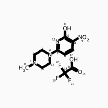 CN1CCN(c2ccc([N+](=O)[O-])c(O)n2)CC1.O=C(O)C(F)(F)F